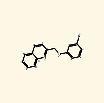 Fc1cccc(OCc2ccc3ccccc3n2)c1